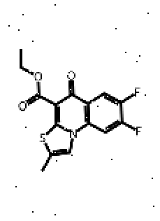 CCOC(=O)c1c(=O)c2cc(F)c(F)cc2n2cc(C)sc12